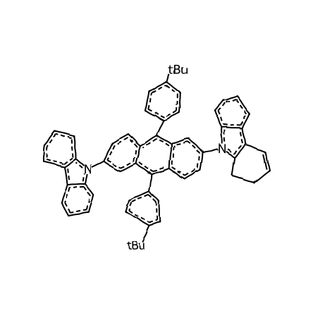 CC(C)(C)c1ccc(-c2c3ccc(-n4c5ccccc5c5ccccc54)cc3c(-c3ccc(C(C)(C)C)cc3)c3ccc(-n4c5c(c6ccccc64)C=CCC5)cc23)cc1